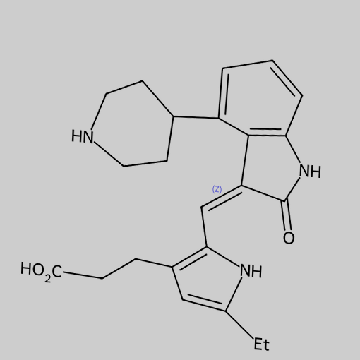 CCc1cc(CCC(=O)O)c(/C=C2\C(=O)Nc3cccc(C4CCNCC4)c32)[nH]1